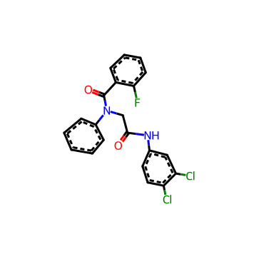 O=C(CN(C(=O)c1ccccc1F)c1ccccc1)Nc1ccc(Cl)c(Cl)c1